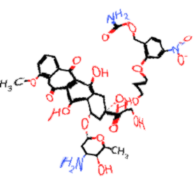 COc1cccc2c1C(=O)c1c(O)c3c(c(O)c1C2=O)C[C@@](O)(C(=O)CO)C[C@@H]3O[C@H]1C[C@H](N)[C@H](O)[C@H](C)O1.NC(=O)OCc1ccc([N+](=O)[O-])cc1OCCCO